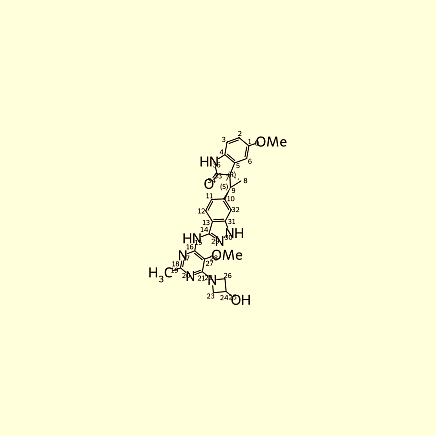 COc1ccc2c(c1)[C@]1(C[C@H]1c1ccc3c(Nc4nc(C)nc(N5CC(O)C5)c4OC)n[nH]c3c1)C(=O)N2